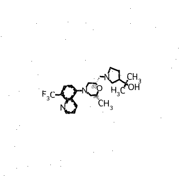 C[C@@H]1CN(c2ccc(C(F)(F)F)c3ncccc23)C[C@H](CN2CCC(C(C)(C)O)C2)O1